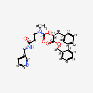 CN(CCC(=O)NCc1cccnc1)C(=O)O[C@@H](Cc1ccccc1)C(=O)OCc1ccccc1